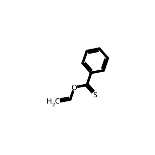 C=COC(=S)c1ccccc1